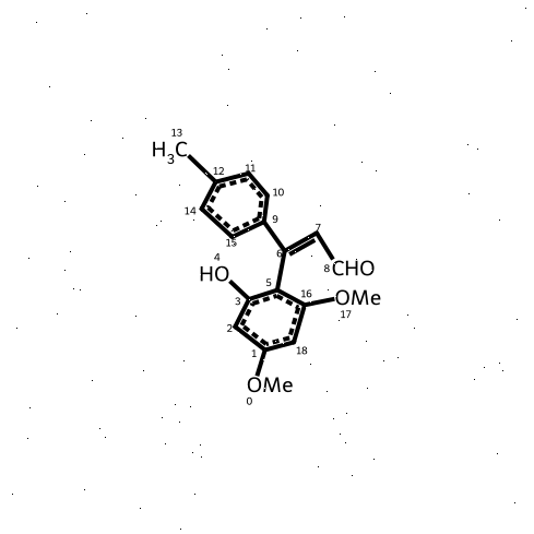 COc1cc(O)c(/C(=C\C=O)c2ccc(C)cc2)c(OC)c1